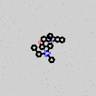 c1ccc(-c2cccc(-c3nc(-c4ccccc4)nc(-c4ccc(-n5c6ccccc6c6cc7ccccc7cc65)cc4-c4cccc5oc6ccc7ccccc7c6c45)n3)c2)cc1